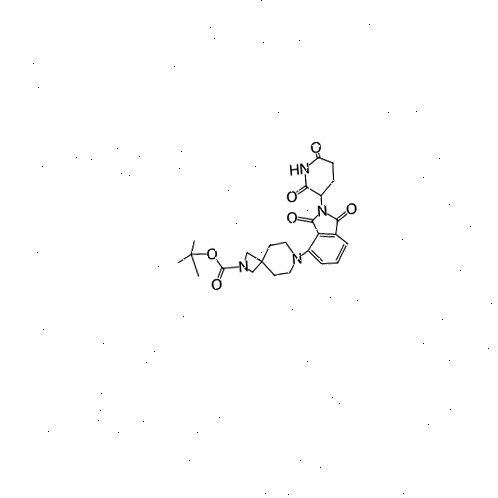 CC(C)(C)OC(=O)N1CC2(CCN(c3cccc4c3C(=O)N(C3CCC(=O)NC3=O)C4=O)CC2)C1